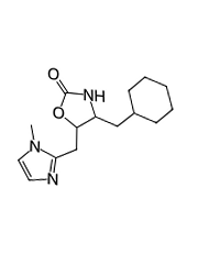 Cn1ccnc1CC1OC(=O)NC1CC1CCCCC1